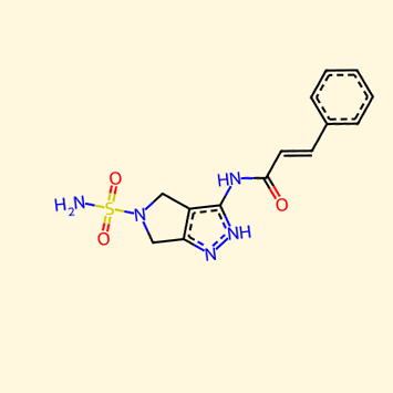 NS(=O)(=O)N1Cc2n[nH]c(NC(=O)C=Cc3ccccc3)c2C1